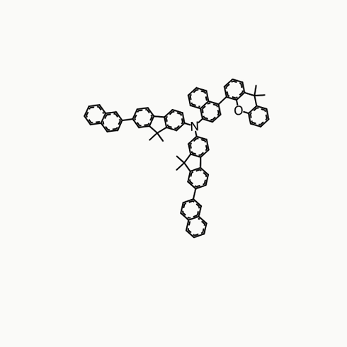 CC1(C)c2cc(-c3ccc4ccccc4c3)ccc2-c2ccc(N(c3ccc4c(c3)C(C)(C)c3cc(-c5ccc6ccccc6c5)ccc3-4)c3ccc(-c4cccc5c4Oc4ccccc4C5(C)C)c4ccccc34)cc21